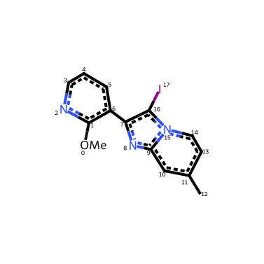 COc1ncccc1-c1nc2cc(C)ccn2c1I